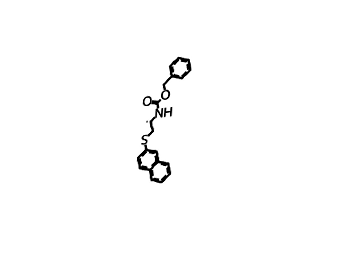 O=C(N[CH]CSc1ccc2ccccc2c1)OCc1ccccc1